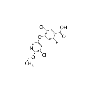 CCOc1ncc(Oc2cc(F)c(C(=O)O)cc2Cl)cc1Cl